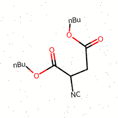 [C-]#[N+]C(CC(=O)OCCCC)C(=O)OCCCC